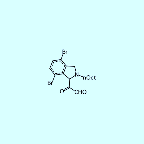 CCCCCCCCN1Cc2c(Br)ccc(Br)c2C1C(=O)C=O